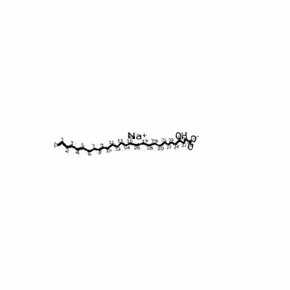 CCCCCCCCCCCCCCCCCCCCCCCCC=C(O)CCC(=O)[O-].[Na+]